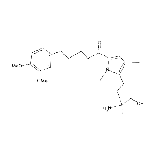 COc1ccc(CCCCC(=O)c2cc(C)c(CCC(C)(N)CO)n2C)cc1OC